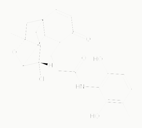 Cc1ccc(O)c(NC(=O)CC[C@]2(C)C(=O)C=CC34CC5[C@H](Cl)C(OC5(C)C3)C42)c1O